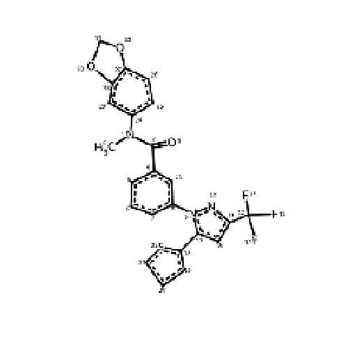 CN(C(=O)c1cccc(-n2nc(C(F)(F)F)cc2-c2cccs2)c1)c1ccc2c(c1)OCO2